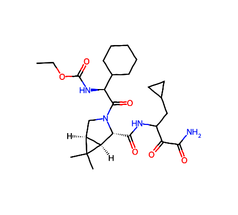 CCOC(=O)N[C@H](C(=O)N1C[C@H]2[C@@H]([C@H]1C(=O)NC(CC1CC1)C(=O)C(N)=O)C2(C)C)C1CCCCC1